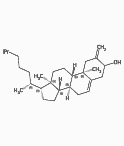 C=C1C[C@@]2(C)C(=CC[C@H]3[C@@H]4CC[C@H]([C@H](C)CCCC(C)C)[C@@]4(C)CC[C@@H]32)CC1O